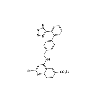 CCOC(=O)c1ccc2nc(CC)cc(NCc3ccc(-c4ccccc4-c4nnn[nH]4)cc3)c2c1